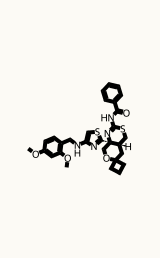 COc1ccc(CNc2csc([C@@]34COC5(CCC5)C[C@@H]3CSC(NC(=O)c3ccccc3)=N4)n2)c(OC)c1